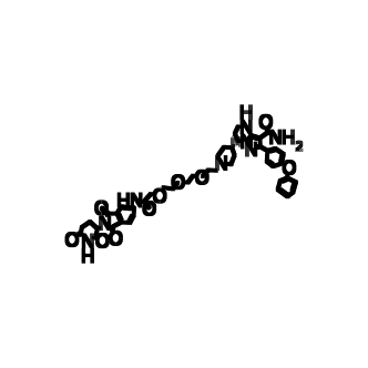 NC(=O)c1c(-c2ccc(Oc3ccccc3)cc2)nn2c1NCC[C@H]2C1CCN(CCOCCOCCOCC(=O)Nc2ccc3c(c2)C(=O)N(C2CCC(=O)NC2=O)C3=O)CC1